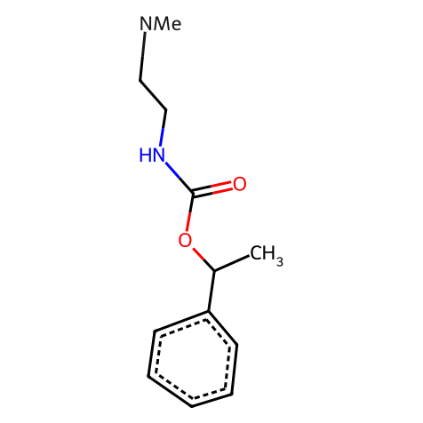 CNCCNC(=O)OC(C)c1ccccc1